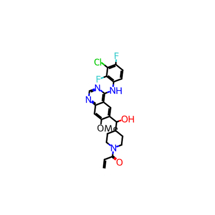 C=CC(=O)N1CCC(C(O)c2cc3c(Nc4ccc(F)c(Cl)c4F)ncnc3cc2OC)CC1